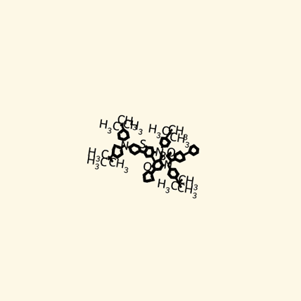 CC(C)(C)c1ccc(N2B3c4oc5cc(-c6ccccc6)ccc5c4N(c4ccc(C(C)(C)C)cc4)c4cc5c(oc6ccccc65)c(c43)-c3cc4c(cc32)sc2cc(N(c3ccc(C(C)(C)C)cc3)c3ccc(C(C)(C)C)cc3)ccc24)cc1